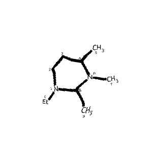 CCN1CCC(C)N(C)C1C